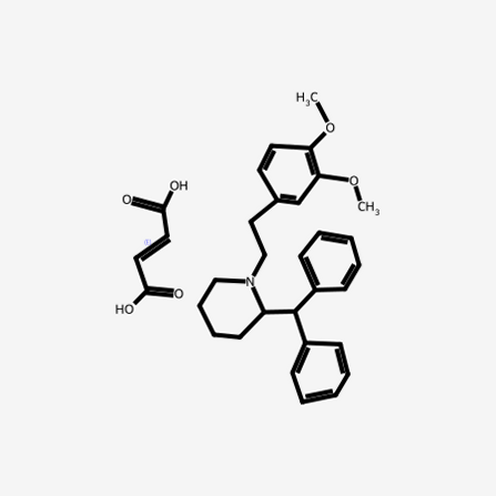 COc1ccc(CCN2CCCCC2C(c2ccccc2)c2ccccc2)cc1OC.O=C(O)/C=C/C(=O)O